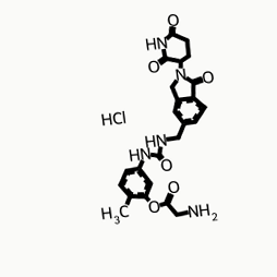 Cc1ccc(NC(=O)NCc2ccc3c(c2)CN(C2CCC(=O)NC2=O)C3=O)cc1OC(=O)CN.Cl